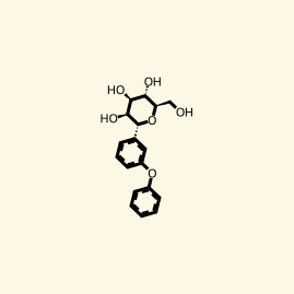 OC[C@H]1O[C@H](c2cccc(Oc3ccccc3)c2)[C@@H](O)[C@@H](O)[C@@H]1O